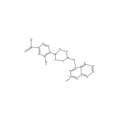 O=[N+]([O-])c1ccc(N2CCC(Cc3cc(F)cc4cccnc34)CC2)c(Cl)c1